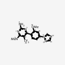 CNc1nc(N)nc(-c2ccc(-n3cncn3)cc2OC)c1C(F)(F)F